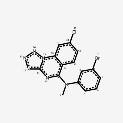 CN(c1cccc(Br)c1)c1nc2nnnn2c2cc(Cl)ccc12